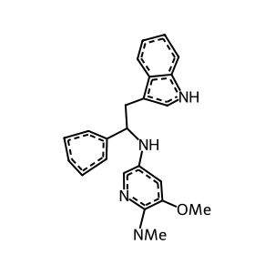 CNc1ncc(NC(Cc2c[nH]c3ccccc23)c2ccccc2)cc1OC